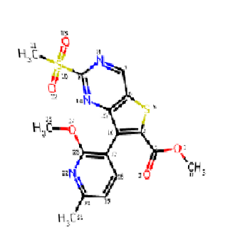 COC(=O)c1sc2cnc(S(C)(=O)=O)nc2c1-c1ccc(C)nc1OC